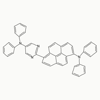 c1ccc(N(c2ccccc2)c2cnc(-c3ccc4ccc5c(N(c6ccccc6)c6ccccc6)ccc6ccc3c4c65)nc2)cc1